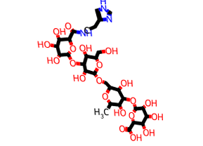 CC1OC(COC2OC(CO)C(O)C(OC3OC(C(=O)NCCc4c[nH]cn4)C(O)C(O)C3O)C2O)C(O)C(OC2OC(C(=O)O)C(O)C(O)C2O)C1O